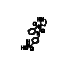 O=C(NO)c1ccc(Cn2c(=O)n(C3CCCNC3)c(=O)c3ccccc32)cc1